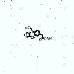 COC(=O)Cc1ccc(N(CC#N)C2=C(C#N)COC2)cc1